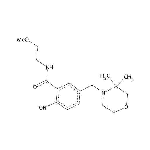 COCCNC(=O)c1cc(CN2CCOCC2(C)C)ccc1N=O